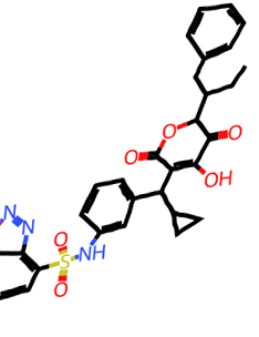 CCC(Cc1ccccc1)C1OC(=O)C(C(c2cccc(NS(=O)(=O)c3cccc4onnc34)c2)C2CC2)=C(O)C1=O